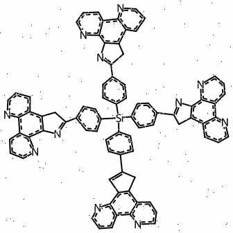 C1=C(c2ccc([Si](c3ccc(C4=Nc5c(c6cccnc6c6cccnc56)C4)cc3)(c3ccc(C4=Nc5c(c6cccnc6c6cccnc56)C4)cc3)c3ccc(C4=Nc5c(c6cccnc6c6cccnc56)C4)cc3)cc2)Cc2c1c1ncccc1c1ncccc21